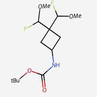 COC(F)C1(C(F)OC)CC(NC(=O)OC(C)(C)C)C1